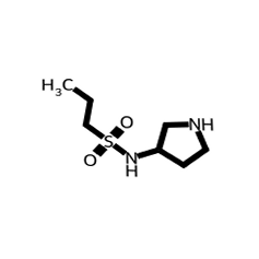 CCCS(=O)(=O)NC1CCNC1